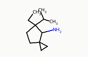 CCC1(C(C)C)CCC2(CC2)C1N